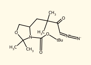 CC(C)(C)OC(=O)N1C(CC(C)(C)C(=O)C=[N+]=[N-])COC1(C)C